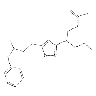 C=C(C)CCC(CCC)c1cc(CCC(C)Cc2ccccc2)on1